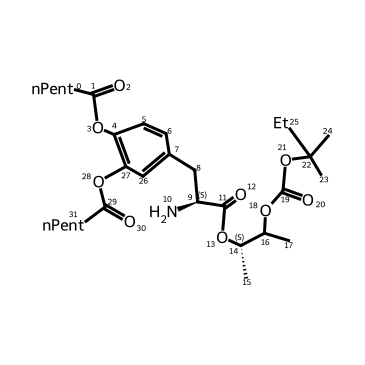 CCCCCC(=O)Oc1ccc(C[C@H](N)C(=O)O[C@@H](C)C(C)OC(=O)OC(C)(C)CC)cc1OC(=O)CCCCC